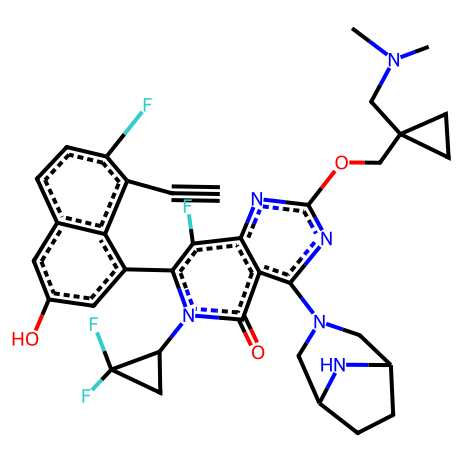 C#Cc1c(F)ccc2cc(O)cc(-c3c(F)c4nc(OCC5(CN(C)C)CC5)nc(N5CC6CCC(C5)N6)c4c(=O)n3C3CC3(F)F)c12